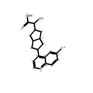 CNC(=O)C(C)C1CC2CC(c3ccnc4ccc(F)cc34)CC2C1